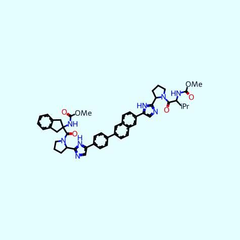 COC(=O)NC(C(=O)N1CCCC1c1ncc(-c2ccc3cc(-c4ccc(-c5cnc(C6CCCN6C(=O)C6(NC(=O)OC)Cc7ccccc7C6)[nH]5)cc4)ccc3c2)[nH]1)C(C)C